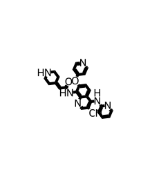 N#Cc1cnc2c(NC(=O)C=C3CCNCC3)c(Oc3ccncc3)ccc2c1Nc1ccccn1